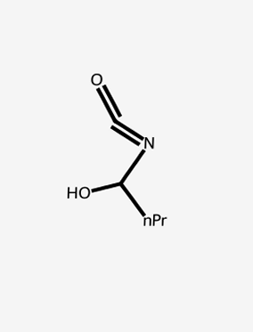 CCCC(O)N=C=O